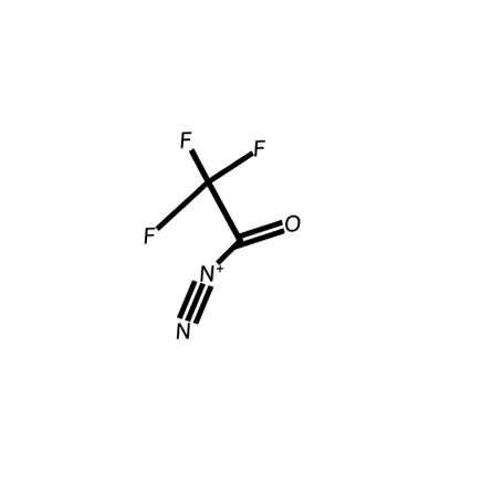 N#[N+]C(=O)C(F)(F)F